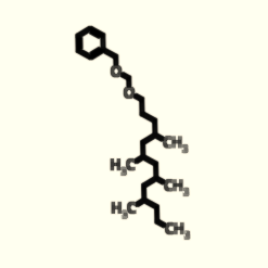 CCCC(C)CC(C)CC(C)CC(C)CCCOCOCc1ccccc1